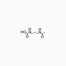 CC(=O)NCCCNC(=O)O